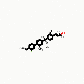 CCC(O)(/C=C/c1ccc(C(CC)(CC)c2ccc(-c3ccc(CC(=O)[O-])c(F)c3)c(C)c2)cc1C)CC.[Na+]